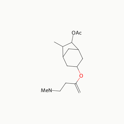 C=C(CCNC)OC1CC2CC(C1)C(OC(C)=O)C2C